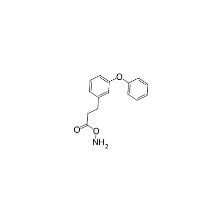 NOC(=O)CCc1cccc(Oc2ccccc2)c1